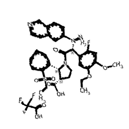 CCOc1cc([C@H](C(=O)N2CC[C@H](C(=O)O)[C@@H]2c2ccccc2S(=O)(=O)CC)N(N)c2ccc3cnccc3c2)c(F)cc1OC.O=C(O)C(F)(F)F